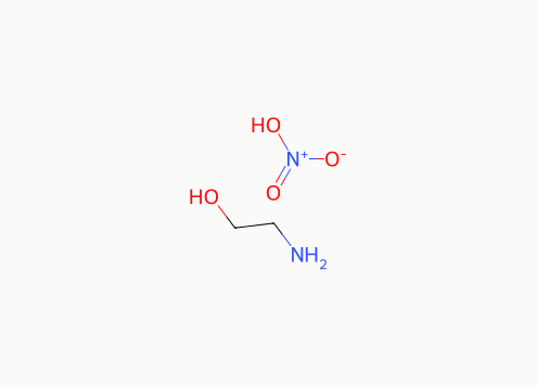 NCCO.O=[N+]([O-])O